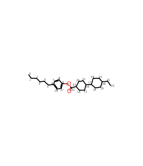 CCCCCCc1ccc(OC(=O)C2CCC(C3CCC(CC)CC3)CC2)cc1